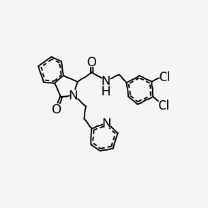 O=C(NCc1ccc(Cl)c(Cl)c1)C1c2ccccc2C(=O)N1CCc1ccccn1